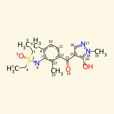 CCS(=O)(CC)=Nc1c(C)ccc(C(=O)c2cnn(C)c2O)c1C